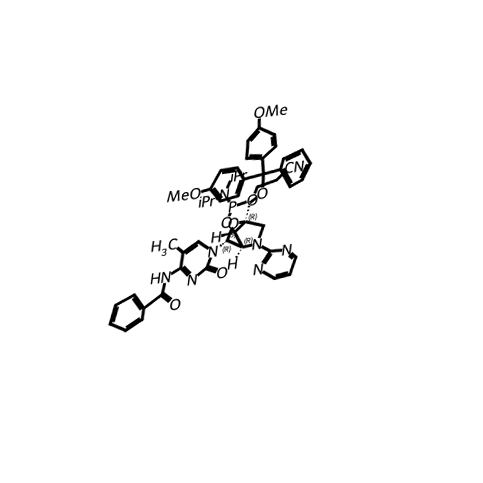 COc1ccc(C(OC[C@@]23CN(c4ncccn4)[C@@H]([C@H](n4cc(C)c(NC(=O)c5ccccc5)nc4=O)O2)[C@@H]3OP(OCCC#N)N(C(C)C)C(C)C)(c2ccccc2)c2ccc(OC)cc2)cc1